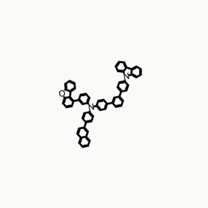 c1cc(-c2ccc(N(c3ccc(-c4ccc5ccccc5c4)cc3)c3cccc(-c4cccc5oc6ccccc6c45)c3)cc2)cc(-c2ccc(-n3c4ccccc4c4ccccc43)cc2)c1